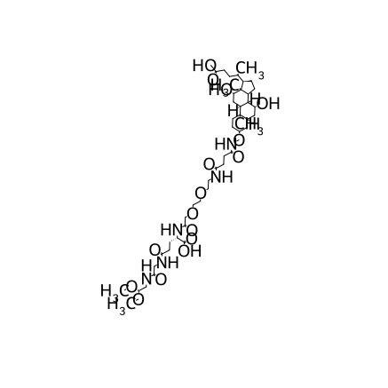 COC(CNC(=O)CNC(=O)CC[C@H](NC(=O)COCCOCCNC(=O)CCC(=O)NO[C@H]1CC[C@@]2(C)[C@@H](C1)C[C@@H](O)[C@H]1C3CC[C@H]([C@H](C)CCC(=O)O)[C@@]3(C)[C@@H](O)C[C@@H]12)C(=O)O)OC